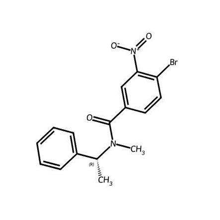 C[C@H](c1ccccc1)N(C)C(=O)c1ccc(Br)c([N+](=O)[O-])c1